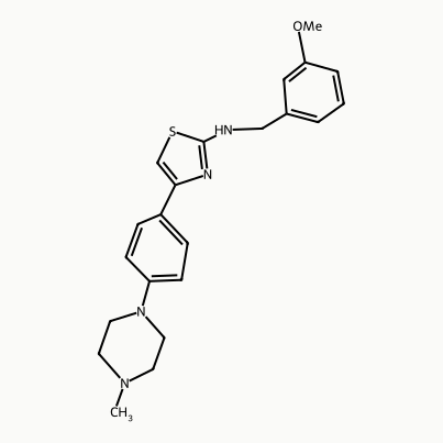 COc1cccc(CNc2nc(-c3ccc(N4CCN(C)CC4)cc3)cs2)c1